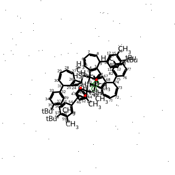 CC1=CC2=C(C=CC=CC2c2ccc(C(C)(C)C)c(C)c2)[C]12[SiH](C)[C]1(C(C)=CC3=C1C=CC=CC3c1ccc(C(C)(C)C)c(C)c1)[Hf]21([Cl])([Cl])[C]2(C(C)=CC3=C2C=CC=CC3c2ccc(C(C)(C)C)c(C)c2)[SiH](C)[C]12C(C)=CC1=C2C=CC=CC1c1ccc(C(C)(C)C)c(C)c1